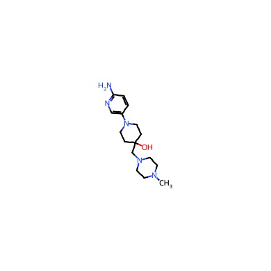 CN1CCN(CC2(O)CCN(c3ccc(N)nc3)CC2)CC1